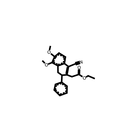 CCOC(=O)CC1=C(C#N)c2ccc(OC)c(OC)c2CC1c1ccccc1